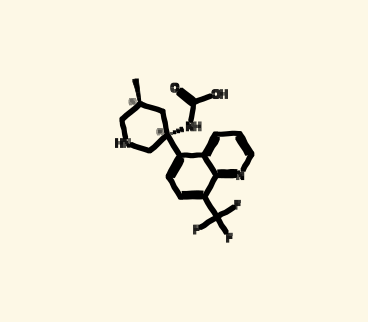 C[C@@H]1CNC[C@](NC(=O)O)(c2ccc(C(F)(F)F)c3ncccc23)C1